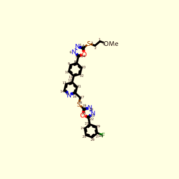 COCCSc1nnc(-c2ccc(-c3ccnc(CSc4nnc(-c5cccc(F)c5)o4)c3)cc2)o1